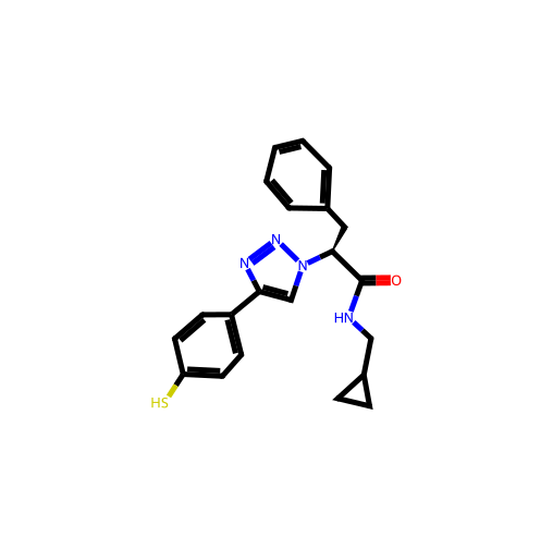 O=C(NCC1CC1)[C@H](Cc1ccccc1)n1cc(-c2ccc(S)cc2)nn1